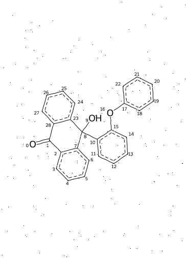 O=C1c2ccccc2C(O)(c2ccccc2Oc2ccccc2)c2ccccc21